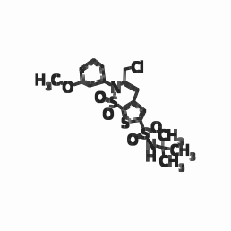 COc1cccc(N2C(CCl)=Cc3cc(S(=O)(=O)NC(C)(C)C)sc3S2(=O)=O)c1